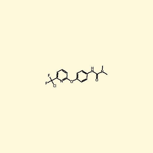 CN(C)C(=O)Nc1ccc(Oc2cccc(C(F)(F)Cl)n2)cc1